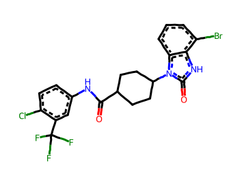 O=C(Nc1ccc(Cl)c(C(F)(F)F)c1)C1CCC(n2c(=O)[nH]c3c(Br)cccc32)CC1